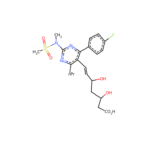 CCCc1nc(N(C)S(C)(=O)=O)nc(-c2ccc(F)cc2)c1C=CC(O)CC(O)CC(=O)O